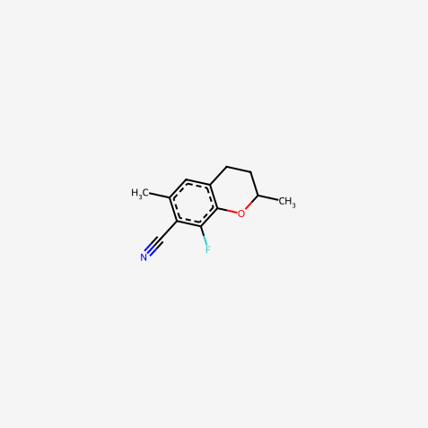 Cc1cc2c(c(F)c1C#N)OC(C)CC2